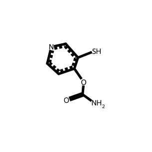 NC(=O)Oc1ccncc1S